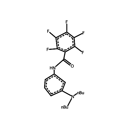 CCCCN(CCCC)c1cccc(NC(=O)c2c(F)c(F)c(F)c(F)c2F)c1